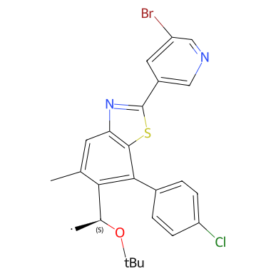 [CH2][C@H](OC(C)(C)C)c1c(C)cc2nc(-c3cncc(Br)c3)sc2c1-c1ccc(Cl)cc1